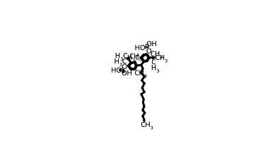 CCCCCCCCCCCCCCCCC(c1cc(C(C)(C)C)c(OP(O)O)cc1C)c1cc(C(C)(C)C)c(OP(O)O)cc1C